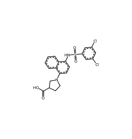 O=C(O)C1CCN(c2ccc(NS(=O)(=O)c3cc(Cl)cc(Cl)c3)c3ccccc23)C1